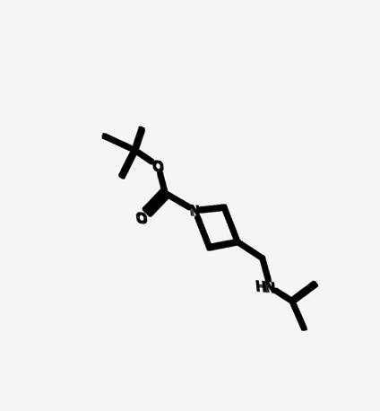 CC(C)NCC1CN(C(=O)OC(C)(C)C)C1